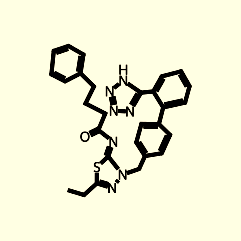 CCc1nn(Cc2ccc(-c3ccccc3-c3nnn[nH]3)cc2)c(=NC(=O)CCCc2ccccc2)s1